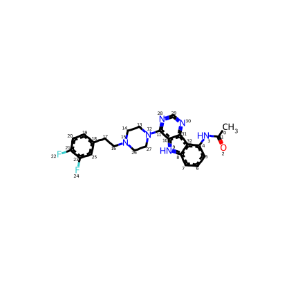 CC(=O)Nc1cccc2[nH]c3c(N4CCN(CCc5ccc(F)c(F)c5)CC4)ncnc3c12